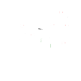 CCCCO[C@H]1C(OC(C)=O)O[C@H](COC(=O)c2ccccc2)C1(F)F